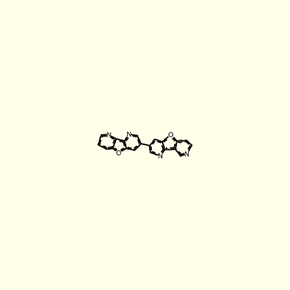 c1cnc2c(c1)oc1cc(-c3cnc4c(c3)oc3ccncc34)cnc12